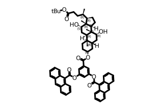 C[C@H](CCC(=O)OC(C)(C)C)[C@H]1CC[C@@H]2[C@]1(C)[C@@H](O)C[C@@H]1[C@@]3(C)CC[C@@H](OC(=O)c4cc(OC(=O)c5c6ccccc6cc6ccccc56)cc(OC(=O)c5c6ccccc6cc6ccccc56)c4)C[C@H]3C[C@@H](O)[C@@]21C